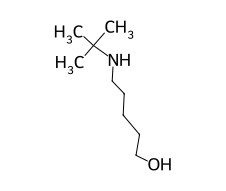 CC(C)(C)NCCCCCO